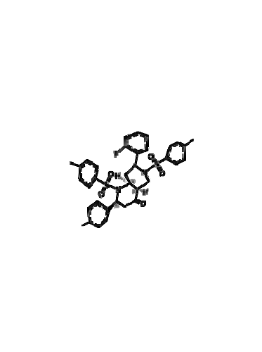 Cc1ccc([C@@H]2CC(=O)[C@@H]3CN(S(=O)(=O)c4ccc(C)cc4)C(c4ccccc4F)C[C@@H]3N2S(=O)(=O)c2ccc(C)cc2)cc1